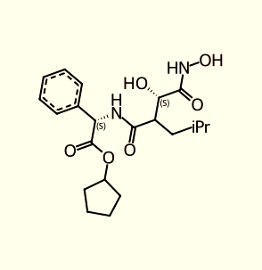 CC(C)CC(C(=O)N[C@H](C(=O)OC1CCCC1)c1ccccc1)[C@H](O)C(=O)NO